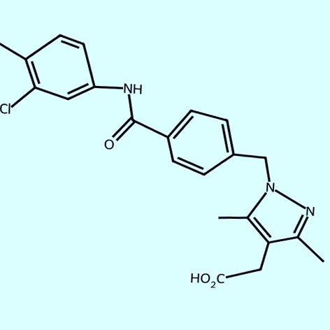 Cc1ccc(NC(=O)c2ccc(Cn3nc(C)c(CC(=O)O)c3C)cc2)cc1Cl